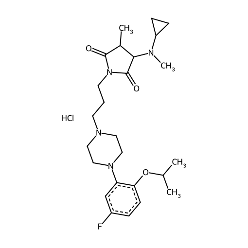 CC(C)Oc1ccc(F)cc1N1CCN(CCCN2C(=O)C(C)C(N(C)C3CC3)C2=O)CC1.Cl